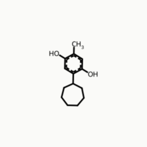 Cc1cc(O)c(C2CCCCCC2)cc1O